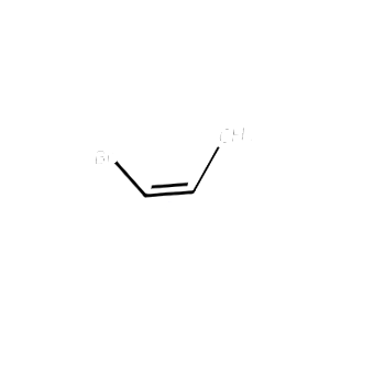 C/C=C\Br